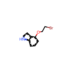 BrCCOc1cccc2[nH]ccc12